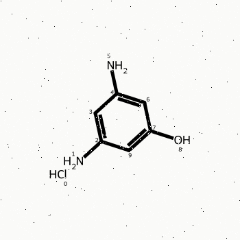 Cl.Nc1cc(N)cc(O)c1